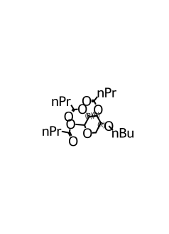 CCCCO[C@@H]1COC(OC(=O)CCC)[C@H](OC(=O)CCC)[C@@H]1OC(=O)CCC